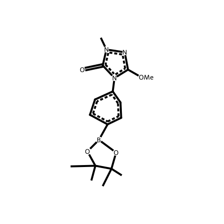 COc1nn(C)c(=O)n1-c1ccc(B2OC(C)(C)C(C)(C)O2)cc1